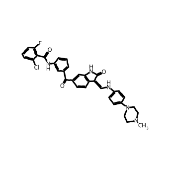 CN1CCN(c2ccc(NC=C3C(=O)Nc4cc(C(=O)c5cccc(NC(=O)c6c(F)cccc6Cl)c5)ccc43)cc2)CC1